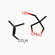 CC(C)=CC(=O)O.CC(CO)(CO)CO